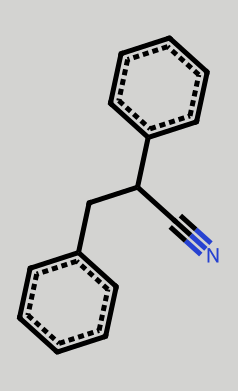 N#CC(Cc1ccccc1)c1ccccc1